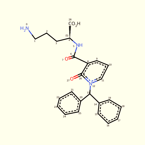 NCCC[C@H](NC(=O)c1cccn(C(c2ccccc2)c2ccccc2)c1=O)C(=O)O